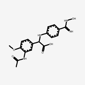 COc1ccc(C(Nc2ccc(C(=N)NO)cc2)C(=O)O)cc1NC(C)=O